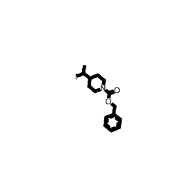 CC(I)C1CCN(C(=O)OCc2ccccc2)CC1